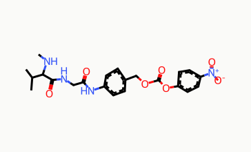 CNC(C(=O)NCC(=O)Nc1ccc(COC(=O)Oc2ccc([N+](=O)[O-])cc2)cc1)C(C)C